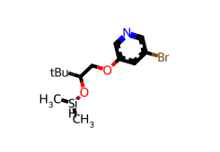 C[SiH](C)OC(COc1cncc(Br)c1)C(C)(C)C